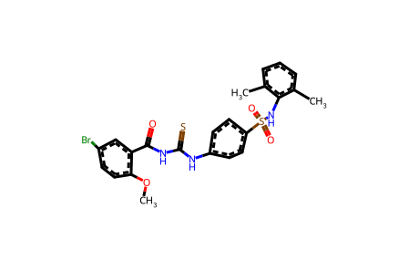 COc1ccc(Br)cc1C(=O)NC(=S)Nc1ccc(S(=O)(=O)Nc2c(C)cccc2C)cc1